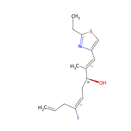 C=CC/C(I)=C\C[C@H](O)/C(C)=C/c1csc(CC)n1